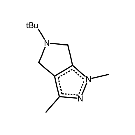 Cc1nn(C)c2c1CN(C(C)(C)C)C2